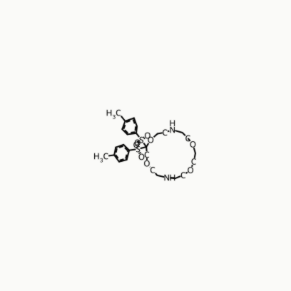 Cc1ccc(S(=O)(=O)C2(S(=O)(=O)c3ccc(C)cc3)COCCNCCOCCOCCNCCO2)cc1